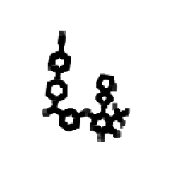 N#Cc1ccc(N2CCN(C(=O)c3cccc(Oc4n[nH]c(=O)c(C(F)(F)F)c4N4CC5(CCCO5)C4)c3)CC2)nc1